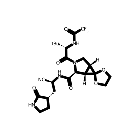 CC(C)(C)[C@H](NC(=O)C(F)(F)F)C(=O)N1C[C@H]2[C@@H]([C@H]1C(=O)N[C@H](C#N)C[C@@H]1CCNC1=O)C21OCCO1